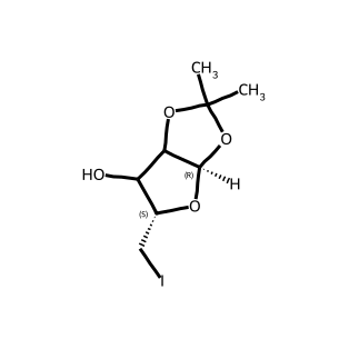 CC1(C)OC2C(O)[C@@H](CI)O[C@@H]2O1